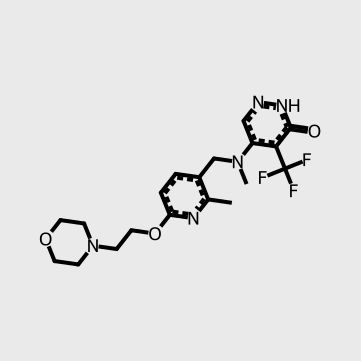 Cc1nc(OCCN2CCOCC2)ccc1CN(C)c1cn[nH]c(=O)c1C(F)(F)F